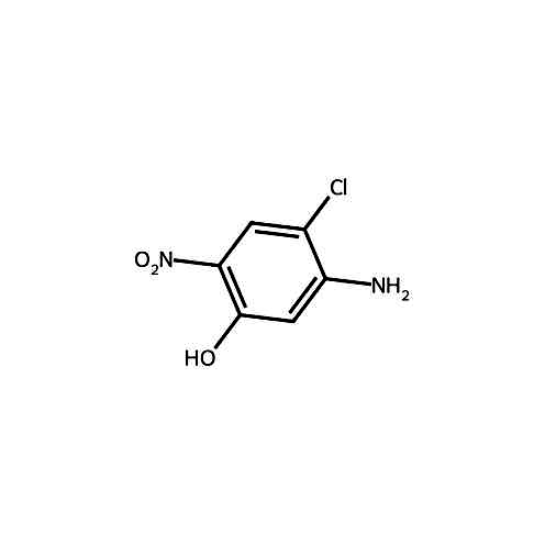 Nc1cc(O)c([N+](=O)[O-])cc1Cl